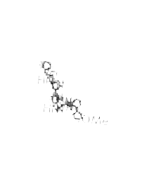 COc1cccc(-c2cccc3[nH]c(-c4n[nH]c5ccc(-c6cncc(NC(=O)Cc7ccccc7)c6)nc45)nc23)c1